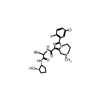 CN1CCCn2c(-c3cc(Cl)ccc3F)nc(C(=O)NC(C(=O)N[C@@H]3CCC[C@H]3O)C(C)(C)C)c2C1